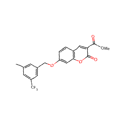 COC(=O)c1cc2ccc(OCc3cc(C)cc(C(F)(F)F)c3)cc2oc1=O